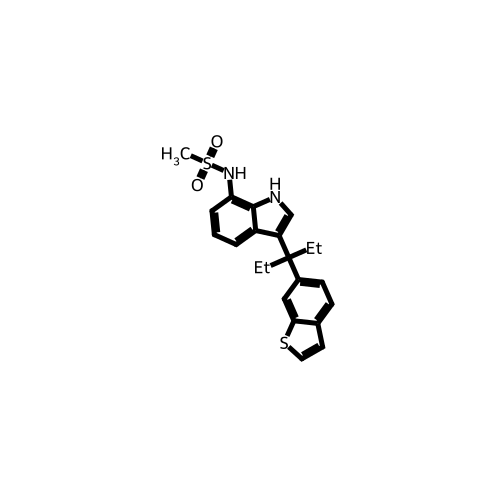 CCC(CC)(c1ccc2ccsc2c1)c1c[nH]c2c(NS(C)(=O)=O)cccc12